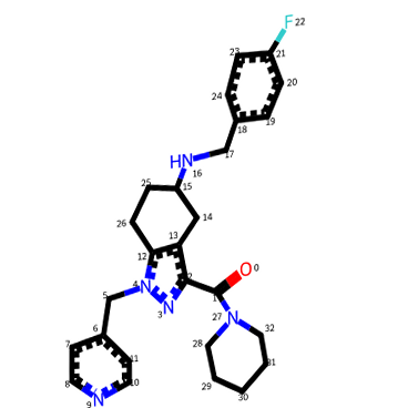 O=C(c1nn(Cc2ccncc2)c2c1CC(NCc1ccc(F)cc1)CC2)N1CCCCC1